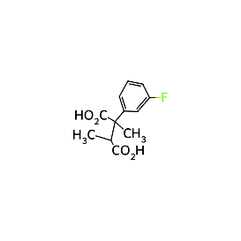 CC(C(=O)O)C(C)(C(=O)O)c1cccc(F)c1